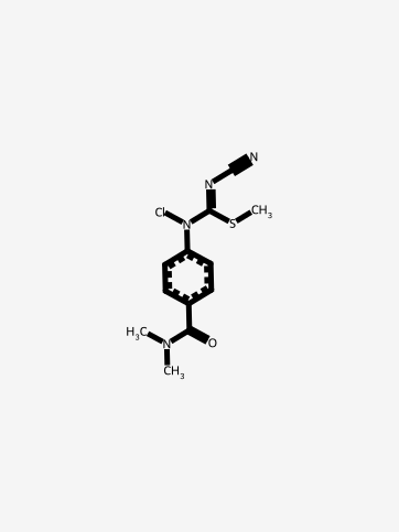 CSC(=NC#N)N(Cl)c1ccc(C(=O)N(C)C)cc1